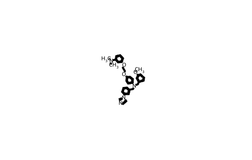 COc1cccc(CN(Cc2cccc(-n3ccnc3)c2)c2ccc(OCCOc3cccc(N(C)C)c3)cc2)c1